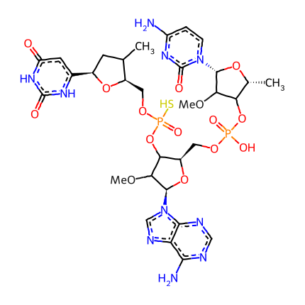 COC1C(OP(=O)(O)OC[C@H]2O[C@@H](n3cnc4c(N)ncnc43)C(OC)C2OP(=O)(S)OC[C@H]2O[C@@H](c3cc(=O)[nH]c(=O)[nH]3)CC2C)[C@@H](C)O[C@H]1n1ccc(N)nc1=O